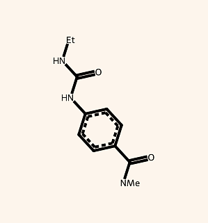 CCNC(=O)Nc1ccc(C(=O)NC)cc1